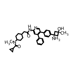 CN(C(=O)C1CC1)C1CCC(CC(=O)Nc2cc(-c3ccccc3)c(-c3ccc([C@]4(N)C[C@](C)(O)C4)cc3)cn2)CC1